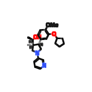 COc1ccc([C@@H]2CN(c3cccnc3)C[C@@]2(C)[C@@H](C)O)cc1OC1CCCC1